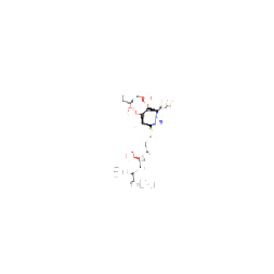 CCCCC(CC)CC(=O)CCSc1cc2c(c(Br)n1)OCC(C)O2